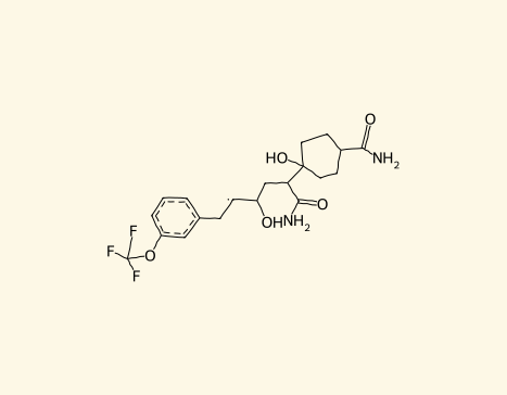 NC(=O)C1CCC(O)(C(CC(O)[CH]Cc2cccc(OC(F)(F)F)c2)C(N)=O)CC1